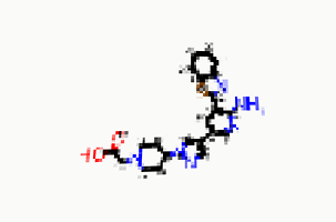 Nc1ncc(-c2cnn(C3CCN(CC(=O)O)CC3)c2)cc1-c1nc2ccccc2s1